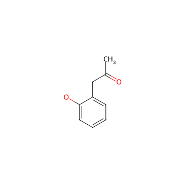 CC(=O)Cc1ccccc1[O]